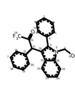 COCn1c(-c2ccccc2)c(C(C(=O)C(F)(F)F)c2ccccc2)c2ccccc21